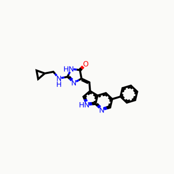 O=C1NC(NCC2CC2)=NC1=Cc1c[nH]c2ncc(-c3ccccc3)cc12